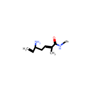 C=CC(N)C/C=C(\C)C(=O)NC(C)C